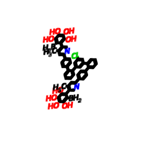 Bc1c(O)c(O)c(O)c(O)c1-c1cnc(-c2ccc(-c3ccccc3-c3cc(Cl)cc(-c4ccccc4-c4ccc(-c5cc(C)c(-c6c(B)c(O)c(O)c(O)c6O)cn5)cc4)c3)cc2)cc1C